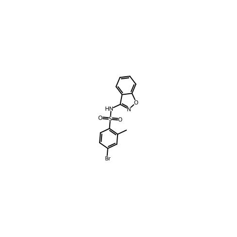 Cc1cc(Br)ccc1S(=O)(=O)Nc1noc2ccccc12